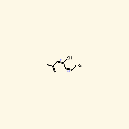 C=C(C)/C=C(S)\C=C/CCCC